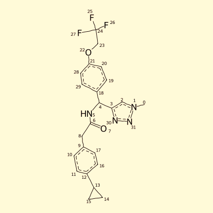 Cn1cc(C(NC(=O)Cc2ccc(C3CC3)cc2)c2ccc(OCC(F)(F)F)cc2)nn1